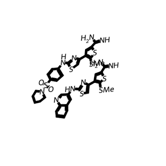 CSc1sc(C(=N)N)cc1-c1csc(Nc2ccc(S(=O)(=O)N3CCCCC3)cc2)n1.CSc1sc(C(=N)N)cc1-c1csc(Nc2cnc3ccccc3c2)n1